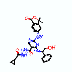 CC1(C)OC(=O)c2ccc(Nc3ncc(C(=O)NNC(=O)C4CC4)c(NC(CO)c4ccccc4)n3)cc21